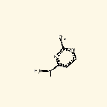 Cc1nccc(NN)n1